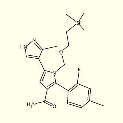 Cc1ccc(-c2c(C(N)=O)cc(-c3c[nH]nc3C)n2COCC[Si](C)(C)C)c(F)c1